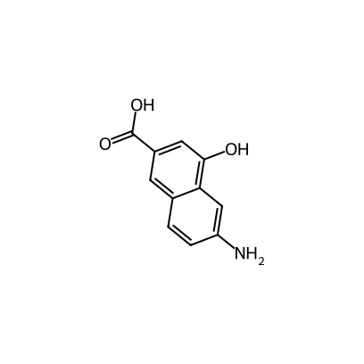 Nc1ccc2cc(C(=O)O)cc(O)c2c1